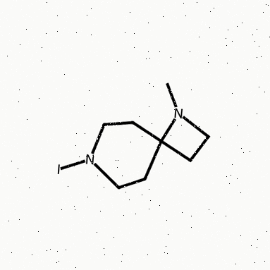 CN1CCC12CCN(I)CC2